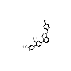 COc1cc(-c2cccc3c2ccn3Cc2ccc(F)cc2)ccc1-n1cnc(C)c1